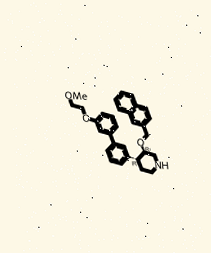 COCCOc1cccc(-c2cccc([C@H]3CCNC[C@@H]3OCc3ccc4ccccc4c3)c2)c1